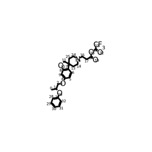 CC(COc1ccc2c(c1)OCC21CCN(CCC(=O)OC(=O)C(F)(F)F)CC1)Oc1ccccc1